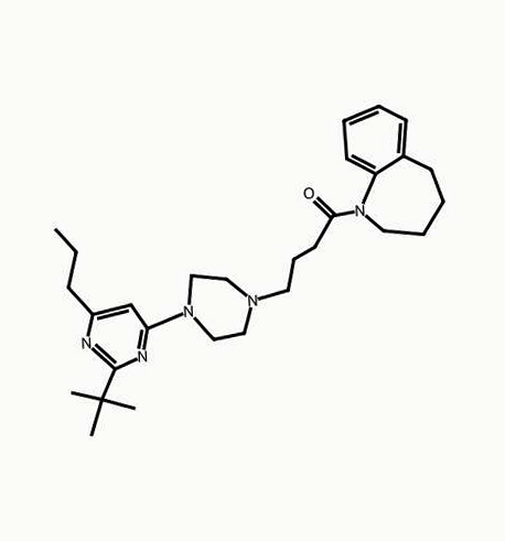 CCCc1cc(N2CCN(CCCC(=O)N3CCCCc4ccccc43)CC2)nc(C(C)(C)C)n1